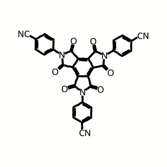 N#Cc1ccc(-n2c(=O)c3c4c(=O)n(-c5ccc(C#N)cc5)c(=O)c4c4c(=O)n(-c5ccc(C#N)cc5)c(=O)c4c3c2=O)cc1